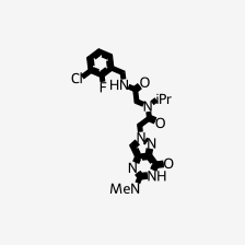 CNc1nc2cn(CC(=O)N(CC(=O)NCc3cccc(Cl)c3F)C(C)C)nc2c(=O)[nH]1